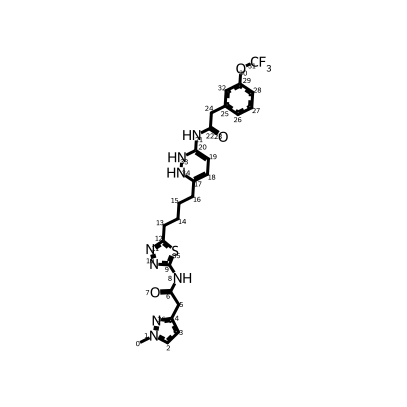 Cn1ccc(CC(=O)Nc2nnc(CCCCC3=CC=C(NC(=O)Cc4cccc(OC(F)(F)F)c4)NN3)s2)n1